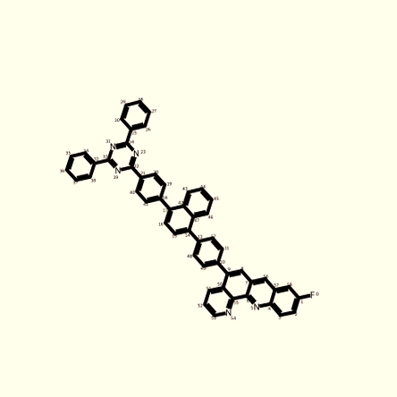 Fc1ccc2nc3c(cc(-c4ccc(-c5ccc(-c6ccc(-c7nc(-c8ccccc8)nc(-c8ccccc8)n7)cc6)c6ccccc56)cc4)c4cccnc43)cc2c1